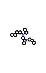 c1ccc2c(c1)Cc1ccc(-n3c4ccccc4c4ccc(N(c5ccc6ccc7c8ccccc8ccc7c6c5)c5cccc6ccccc56)cc43)cc1-2